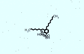 CCCCCCCCc1ccc(S(=O)(=O)O)c(S(=O)(=O)O)c1CCCCCCCC